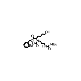 CC(C)(C)OC(=O)NCCCN(C(=O)OC(C)(C)C)C(CCCCO)C(=O)OCc1ccccc1